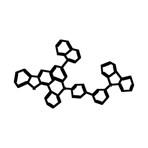 c1cc(-c2cccc3ccccc23)cc(N(c2ccc(-c3cccc(-n4c5ccccc5c5ccccc54)c3)cc2)c2ccccc2-c2cccc3c2oc2ccccc23)c1